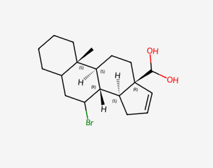 C[C@]12CCCCC1CC(Br)[C@@H]1[C@@H]2CC[C@]2(C(O)O)C=CC[C@@H]12